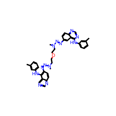 Cc1cccc(Nc2ncnc3ccc(/N=N/N(C)CCOCCN(C)/N=N\c4ccc5ncncc5c4Nc4cccc(C)c4)cc23)c1